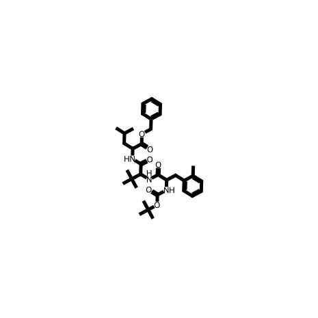 Cc1ccccc1CC(NC(=O)OC(C)(C)C)C(=O)NC(C(=O)NC(CC(C)C)C(=O)OCc1ccccc1)C(C)(C)C